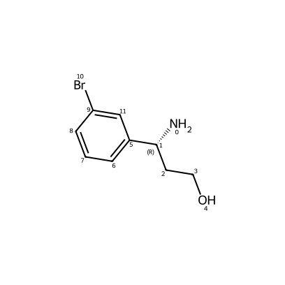 N[C@H](CCO)c1cccc(Br)c1